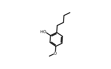 CCCCc1ccc(OC)cc1O